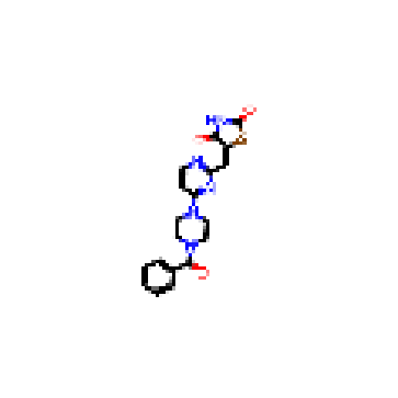 O=C1NC(=O)/C(=C\c2nccc(N3CCN(C(=O)c4ccccc4)CC3)n2)S1